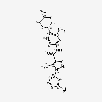 Cc1cc(NC(=O)c2cnn(-c3cccc(Cl)c3)c2C)cnc1N1CCC(O)CC1